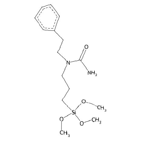 CO[Si](CCCN(CCc1ccccc1)C(N)=O)(OC)OC